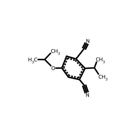 CC(C)Oc1cc(C#N)c(C(C)C)c(C#N)c1